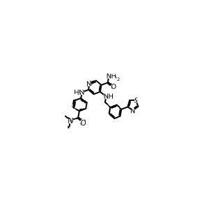 CN(C)C(=O)c1ccc(Nc2cc(NCc3cccc(-c4cscn4)c3)c(C(N)=O)cn2)cc1